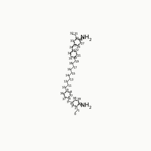 CCc1cc(Cc2ccc(CCCCCCCCCCc3ccc(Cc4ccc(N)c(CC)c4)cc3)cc2)ccc1N